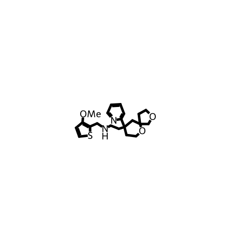 COc1ccsc1CNCCC1(c2ccccn2)CCOC2(CCOC2)C1